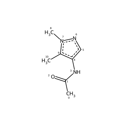 CC(=O)Nc1cnn(C)c1C